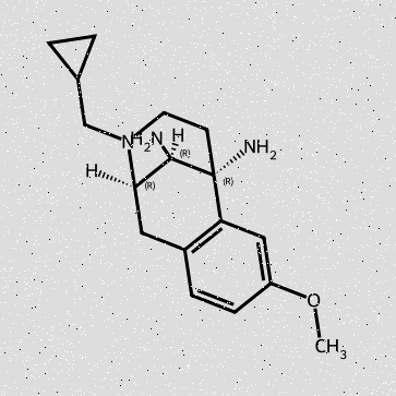 COc1ccc2c(c1)[C@]1(N)CCN(CC3CC3)[C@H](C2)[C@H]1N